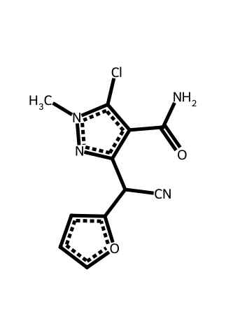 Cn1nc(C(C#N)c2ccco2)c(C(N)=O)c1Cl